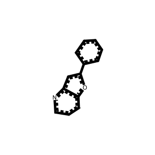 [c]1ccnc2cc(-c3ccccc3)oc12